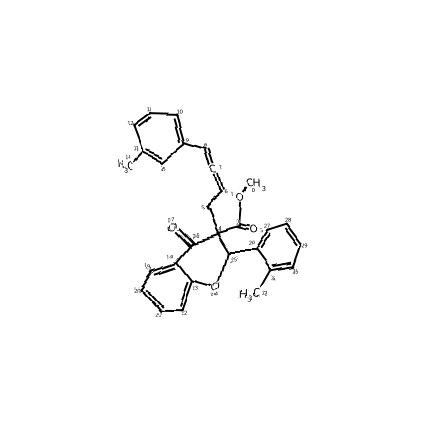 COC(=O)C1(CC=C=Cc2cccc(C)c2)C(=O)c2ccccc2OC1c1ccccc1C